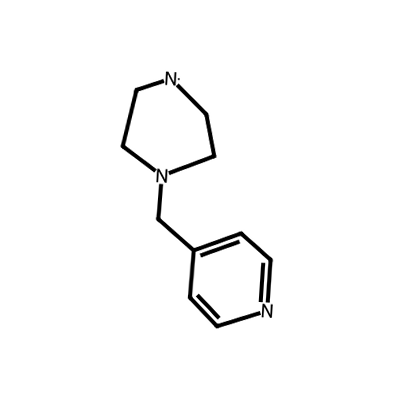 c1cc(CN2CC[N]CC2)ccn1